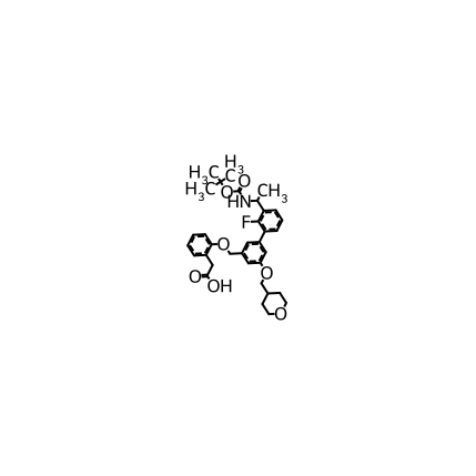 CC(NC(=O)OC(C)(C)C)c1cccc(-c2cc(COc3ccccc3CC(=O)O)cc(OCC3CCOCC3)c2)c1F